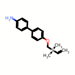 C=C[Si](C)(C)COc1ccc(-c2ccc(N)cc2)cc1